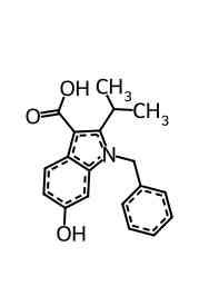 CC(C)c1c(C(=O)O)c2ccc(O)cc2n1Cc1ccccc1